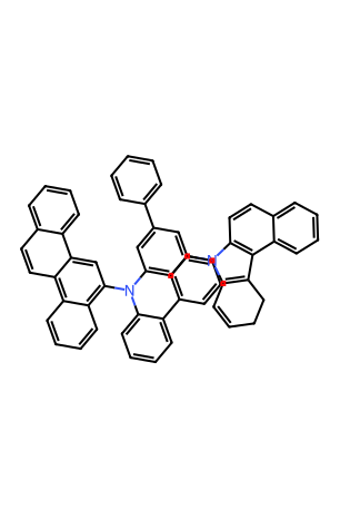 C1=Cc2c(c3c4ccccc4ccc3n2-c2cc(-c3ccccc3)cc(N(c3ccccc3-c3ccccc3)c3cc4c5ccccc5ccc4c4ccccc34)c2)CC1